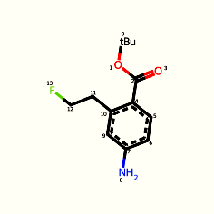 CC(C)(C)OC(=O)c1ccc(N)cc1CCF